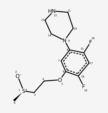 C[S@@+]([O-])CCOc1cc(N2CCNCC2)c(F)cc1F